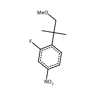 COCC(C)(C)c1ccc([N+](=O)[O-])cc1F